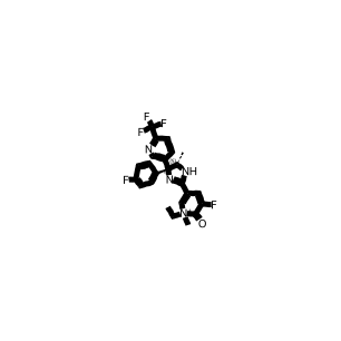 CC[N+]1(C)C=C(C2=N[C@](c3ccc(F)cc3)(c3ccc(C(F)(F)F)nc3)[C@H](C)N2)C=C(F)C1=O